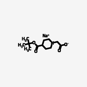 CC(C)(C)OC(=O)C1CCN(CC(=O)[O-])CC1.[Na+]